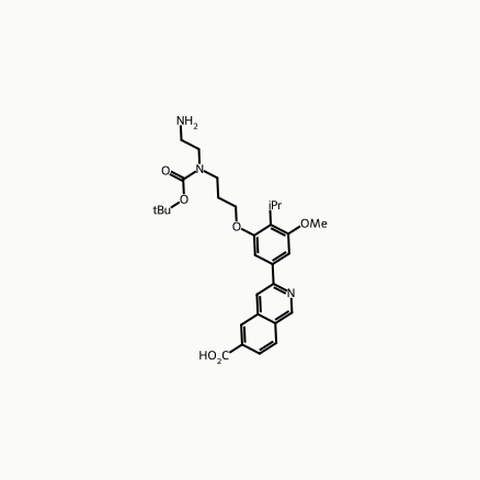 COc1cc(-c2cc3cc(C(=O)O)ccc3cn2)cc(OCCCN(CCN)C(=O)OC(C)(C)C)c1C(C)C